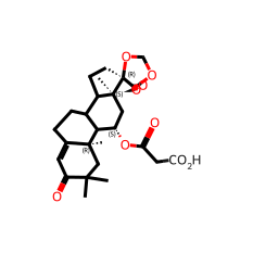 CC1(C)C[C@@]2(C)C(=CC1=O)CCC1C2[C@@H](OC(=O)CC(=O)O)C[C@@]2(C)C1CC[C@@]21OCOC12COCO2